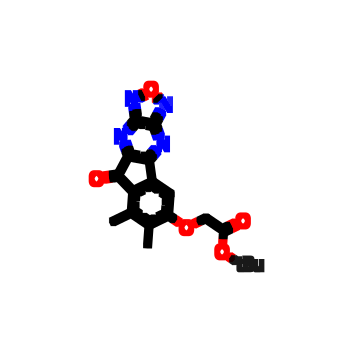 Cc1c(OCC(=O)OC(C)(C)C)cc2c(c1C)C(=O)c1nc3nonc3nc1-2